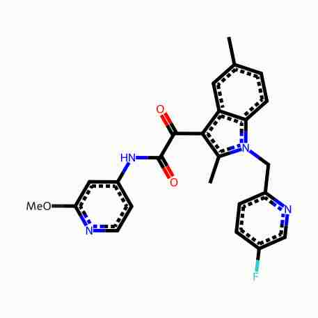 COc1cc(NC(=O)C(=O)c2c(C)n(Cc3ccc(F)cn3)c3ccc(C)cc23)ccn1